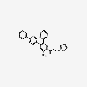 Nc1cc(-c2ccc(-c3ccccc3)cc2)c(-c2ccccc2)cc1NCCC1=CC=CC1